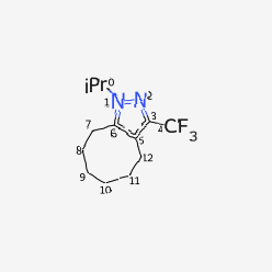 CC(C)n1nc(C(F)(F)F)c2c1CCCCCC2